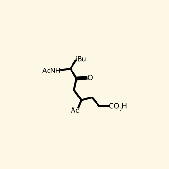 CCC(C)C(NC(C)=O)C(=O)CC(CCC(=O)O)C(C)=O